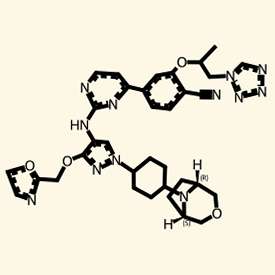 CC(Cn1cnnn1)Oc1cc(-c2ccnc(Nc3cn(C4CCC(N5[C@@H]6CC[C@H]5COC6)CC4)nc3OCc3ncco3)n2)ccc1C#N